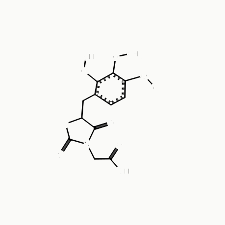 COc1ccc(CC2SC(=S)N(CC(=O)O)C2=O)c(OC)c1OC